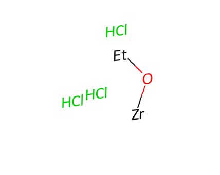 CC[O][Zr].Cl.Cl.Cl